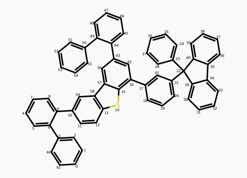 c1ccc(-c2ccccc2-c2ccc3sc4c(-c5cccc(C6(c7ccccc7)c7ccccc7-c7ccccc76)c5)cc(-c5ccccc5-c5ccccc5)cc4c3c2)cc1